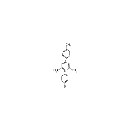 Cc1ccc(-c2cc(C)[n+](-c3ccc(Br)cc3)c(C)c2)cc1